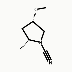 CO[C@H]1C[C@@H](C)N(C#N)C1